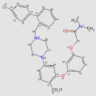 CN(C)C(=O)COc1cccc(Oc2cc(N3CCN(Cc4ccccc4-c4ccc(Cl)cc4)CC3)ccc2C(=O)O)c1